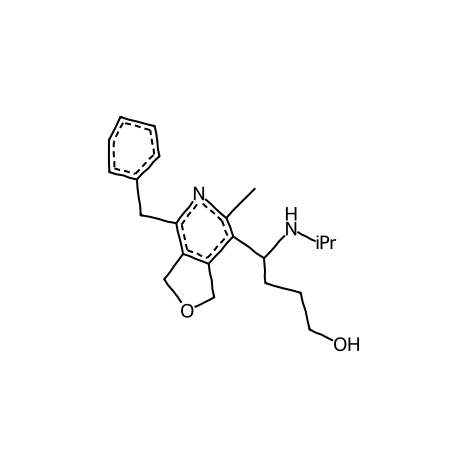 Cc1nc(Cc2ccccc2)c2c(c1C(CCCO)NC(C)C)COC2